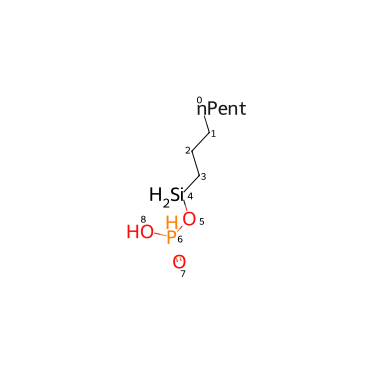 CCCCCCCC[SiH2]O[PH](=O)O